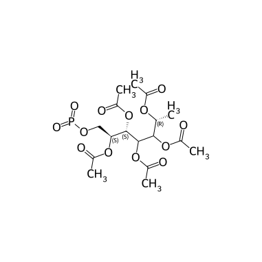 CC(=O)OC(C(OC(C)=O)[C@@H](C)OC(C)=O)[C@@H](OC(C)=O)[C@H](COP(=O)=O)OC(C)=O